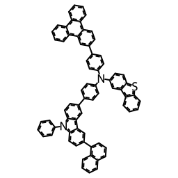 c1ccc(-n2c3ccc(-c4ccc(N(c5ccc(-c6ccc7c8ccccc8c8ccccc8c7c6)cc5)c5ccc6sc7ccccc7c6c5)cc4)cc3c3cc(-c4cccc5ccccc45)ccc32)cc1